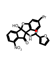 CC(C)c1ccc2c(c1)OC1(O)c3cccc([N+](=O)[O-])c3C(=O)C21NC(=O)c1ccco1